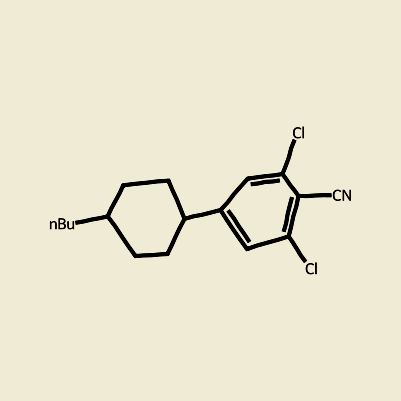 CCCCC1CCC(c2cc(Cl)c(C#N)c(Cl)c2)CC1